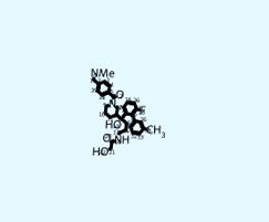 CNCc1ccc(C(=O)N2CCCC(C(O)(CCCNC(=O)CO)c3cccc(F)c3-c3cccc(C)c3)C2)cc1